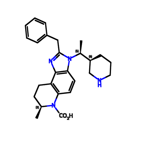 C[C@H]1CCc2c(ccc3c2nc(Cc2ccccc2)n3[C@@H](C)[C@H]2CCCNC2)N1C(=O)O